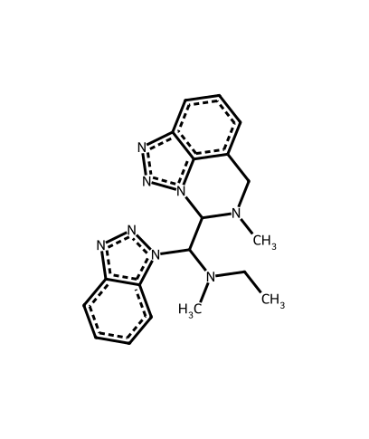 CCN(C)C(C1N(C)Cc2cccc3nnn1c23)n1nnc2ccccc21